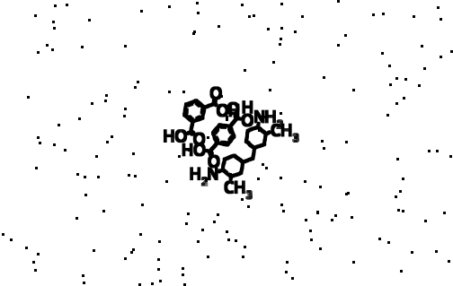 CC1CC(CC2CCC(N)C(C)C2)CCC1N.O=C(O)c1ccc(C(=O)O)cc1.O=C(O)c1cccc(C(=O)O)c1